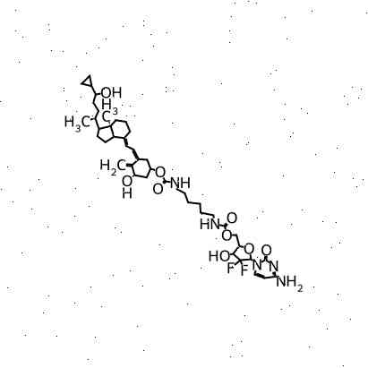 C=C1/C(=C\C=C2/CCC[C@@]3(C)C2CCC3[C@@H](C)CCC(O)C2CC2)CC(OC(=O)NCCCCCCNC(=O)OCC2OC(n3ccc(N)nc3=O)C(F)(F)C2O)C[C@@H]1O